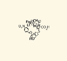 CC[Si](CC)(CC)O[C@@H](C)[C@@H]1C(=O)N2C(C(=O)O)=C(S[C@H]3C[C@@H](CO)N(C(=O)OCc4ccc([N+](=O)[O-])cc4)C3)S[C@H]12